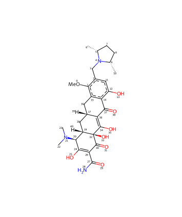 COc1c(CN2[C@H](C)CC[C@@H]2C)cc(O)c2c1C[C@H]1C[C@H]3[C@H](N(C)C)C(O)=C(C(N)=O)C(=O)[C@@]3(O)C(O)=C1C2=O